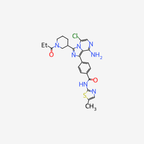 CCC(=O)N1CCCC(c2nc(-c3ccc(C(=O)Nc4ncc(C)s4)cc3)c3c(N)ncc(Cl)n23)C1